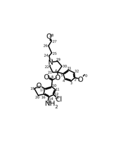 COc1ccc(C2(OC(=O)c3cc(Cl)c(N)c4c3OCC4)CCN(CCCC=O)CC2)cc1